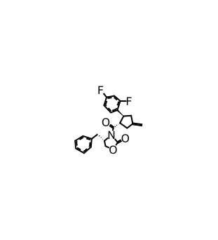 C=C1C[C@H](C(=O)N2C(=O)OC[C@@H]2Cc2ccccc2)[C@@H](c2ccc(F)cc2F)C1